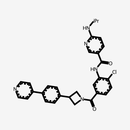 CC(C)Nc1ccc(C(=O)Nc2cc(C(=O)N3CC(c4ccc(-c5ccncc5)cc4)C3)ccc2Cl)cn1